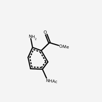 COC(=O)c1cc(NC(C)=O)ccc1N